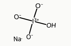 [Na].[O-][I+3]([O-])([O-])O